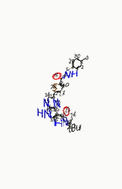 Cc1ccc(CNC(=O)c2ccc(-c3cnc4[nH]cc(C(=O)N[C@@H](C)C(C)(C)C)c4n3)s2)cc1